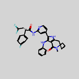 CN1C(=O)c2c([nH]c(-c3ccnc(NC(=O)[C@@H](CC(F)F)c4ccc(F)cc4)c3)c2Nc2ccccc2)CC12CCC2